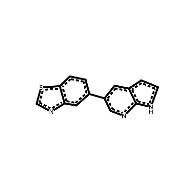 c1cc2cc(-c3ccc4scnc4c3)cnc2[nH]1